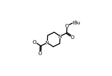 CC(C)(C)OC(=O)N1CCN(C([O])=O)CC1